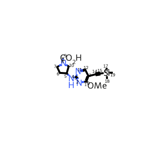 COc1nc(NC2CCN(C(=O)O)C2)ncc1C#C[Si](C)(C)C